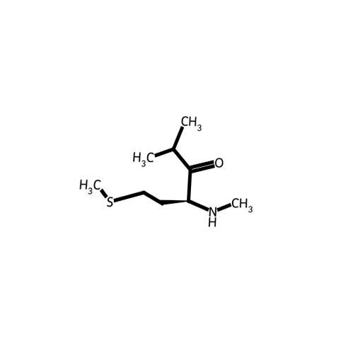 CN[C@@H](CCSC)C(=O)C(C)C